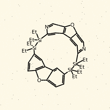 CC[Si]1(CC)c2ccc3oc4ccc(cc4c3c2)[Si](CC)(CC)[Si](CC)(CC)c2cc3c(cn2)oc2cnc(cc23)[Si]1(CC)CC